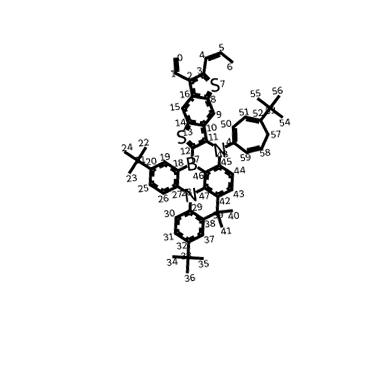 C=Cc1c(/C=C\C)sc2cc3c4c(sc3cc12)B1c2cc(C(C)(C)C)ccc2N2c3ccc(C(C)(C)C)cc3C(C)(C)c3ccc(c1c32)N4C1=CC=C(C(C)(C)C)CC=C1